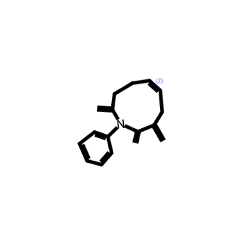 C=C1C/C=C\CCC(=C)N(c2ccccc2)C1=C